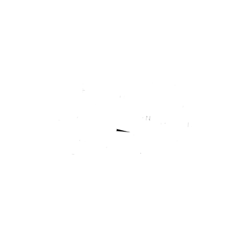 O=C1CCC[C@H]2CCC[C@@H](c3cc(F)c(F)c(F)c3)N12